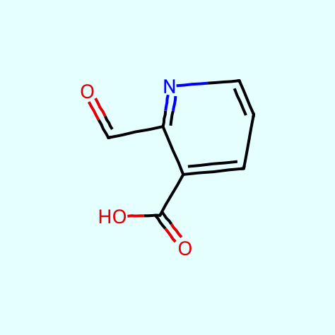 O=Cc1ncccc1C(=O)O